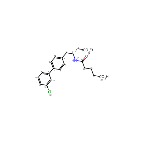 CCOC(=O)C[C@@H](Cc1ccc(-c2cccc(Cl)c2)cc1)NC(=O)CCCC(=O)O